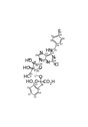 C#C[C@@]1(O)[C@@H](COC(Cc2ccccc2)(C(=O)O)C(=O)O)O[C@@H](n2cnc3c(NCc4ccc(F)cc4)nc(Cl)nc32)[C@@H]1O